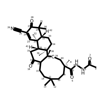 CC(=O)NNC(=O)[C@@]1(C)CCC(C)(C)CCC2C(=O)C[C@@H]3[C@@]4(C)C=C(C#N)C(=O)C(C)(C)[C@@H]4CC[C@@]3(C)[C@]2(C)CC1